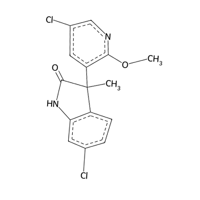 COc1ncc(Cl)cc1C1(C)C(=O)Nc2cc(Cl)ccc21